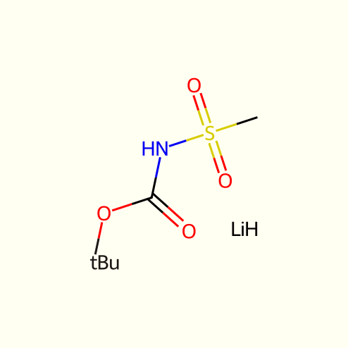 CC(C)(C)OC(=O)NS(C)(=O)=O.[LiH]